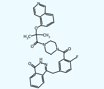 CC(C)(Oc1cccc2cnccc12)C(=O)N1CCN(C(=O)c2cc(Cc3n[nH]c(=O)c4ccccc34)ccc2F)CC1